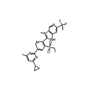 CCS(=O)(=O)c1cc(-c2nc(C)cc(C3CC3)n2)cnc1-c1[nH]c2cc(C(F)(F)F)ncc2[n+]1C